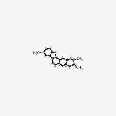 Cc1ccc2sc3c4cc5cc(C)c(C)cc5cc4ccc3c2c1